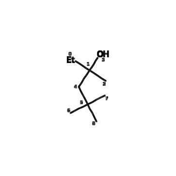 CCC(C)(O)CC(C)(C)C